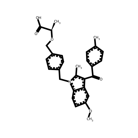 COc1ccc2c(c1)c(C(=O)c1ccc(C)cc1)c(C)n2Cc1ccc(CO[C@H](C)C(=O)O)cc1